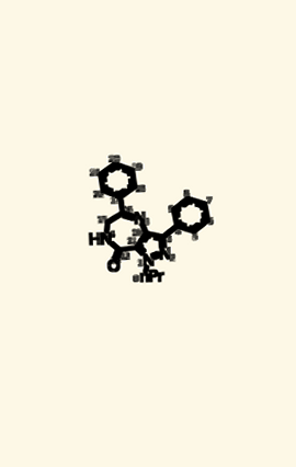 CCCn1nc(-c2ccccc2)c2c1C(=O)NCC(c1ccccc1)=N2